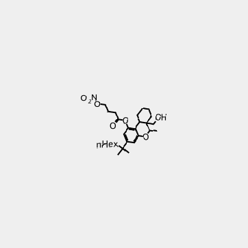 CCCCCCC(C)(C)c1cc(OC(=O)CCCO[N+](=O)[O-])c2c(c1)OC(C)C1(CO)CCCCC21